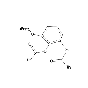 CCCCCOc1cccc(OC(=O)C(C)C)c1OC(=O)C(C)C